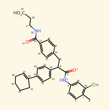 Cc1ccc(NC(=O)C(Cc2ccc(C(=O)NCCC(=O)O)cc2)c2ccc(C3=CCCCC3)cc2)cc1Cl